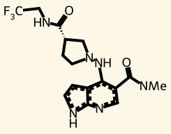 CNC(=O)c1cnc2[nH]ccc2c1NN1CC[C@H](C(=O)NCC(F)(F)F)C1